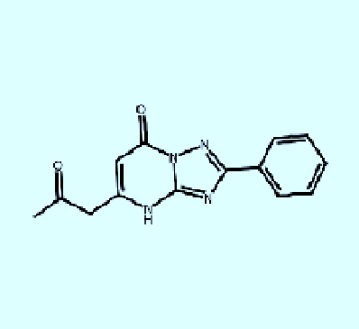 CC(=O)Cc1cc(=O)n2nc(-c3ccccc3)nc2[nH]1